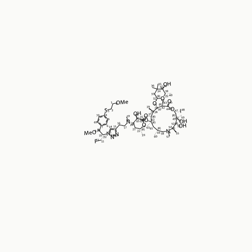 COCCSc1ccc([C@@H](OC)[C@@H](CF)n2cc(CCN(C)[C@H]3C[C@@H](C)O[C@@H](O[C@@H]4[C@@H](C)[C@H](O[C@H]5CC(C)(C)[C@@H](O)[C@H](C)O5)[C@@H](C)C(=O)O[C@H](I)[C@@](C)(O)[C@H](O)[C@@H](C)N(C)C[C@H](C)C[C@@]4(C)O)[C@@H]3O)nn2)cc1